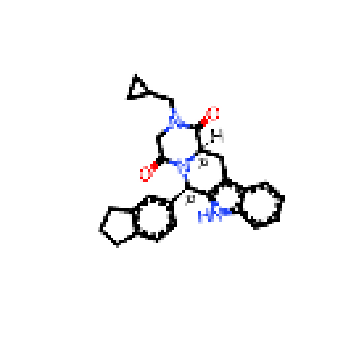 O=C1[C@H]2Cc3c([nH]c4ccccc34)[C@@H](c3ccc4c(c3)CCC4)N2C(=O)CN1CC1CC1